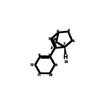 C1=C(C2=CC3CC[C@H]2C3)CCCC1